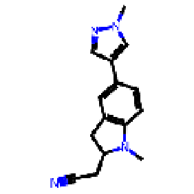 CN1c2ccc(-c3cnn(C)c3)cc2CC1CC#N